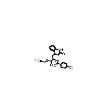 C#CCSC(=O)C(Cc1cc(=O)[nH]c2ccccc12)NC(=O)c1ccc(Cl)cc1